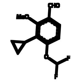 COc1c(C=O)ccc(OC(F)F)c1C1CC1